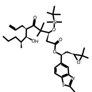 C=CC[C@@H](C(=O)C(C)(C)[C@H](CC(=O)O[C@@H](C[C@@H]1OC1(C)C)c1ccc2sc(C)nc2c1)O[Si](C)(C)C(C)(C)C)[C@@H](O)[C@@H](C)CCC